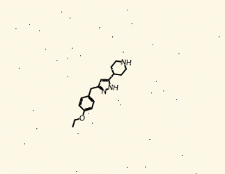 CCOc1ccc(Cc2cc(C3CCNCC3)[nH]n2)cc1